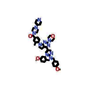 COc1ccc(CN(Cc2ccc(OC)cc2)c2ncc(-c3nc(N4CCOCC4)nc4c3CCN4c3ccc(C(=O)N4CCN(c5ccncc5)CC4)cc3C)cn2)cc1